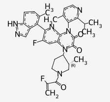 C=C(F)C(=O)N1CCC(n2c(=O)c(=O)n(-c3c(C)ccnc3C(C)C)c3nc(-c4c(C)ccc5[nH]ncc45)c(F)cc32)[C@H](C)C1